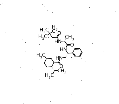 CC(C)[C@@H]1CC[C@@H](C)C[C@H]1C(=O)NC[C@H](NC(=O)[C@@H](C)NC(=O)CC(C)(C)C)c1ccccc1